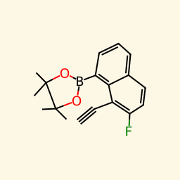 C#Cc1c(F)ccc2cccc(B3OC(C)(C)C(C)(C)O3)c12